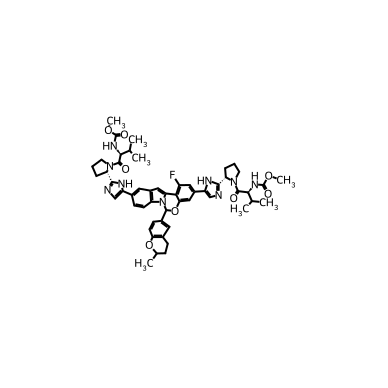 COC(=O)N[C@H](C(=O)N1CCC[C@H]1c1ncc(-c2cc(F)c3c(c2)OC(c2ccc4c(c2)CCC(C)O4)n2c-3cc3cc(-c4cnc([C@@H]5CCCN5C(=O)[C@@H](NC(=O)OC)C(C)C)[nH]4)ccc32)[nH]1)C(C)C